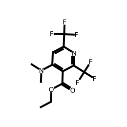 CCOC(=O)c1c(N(C)C)cc(C(F)(F)F)nc1C(F)(F)F